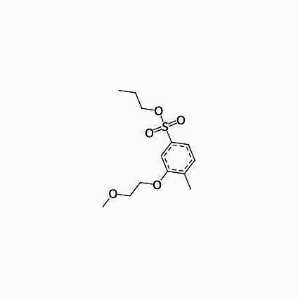 CCCOS(=O)(=O)c1ccc(C)c(OCCOC)c1